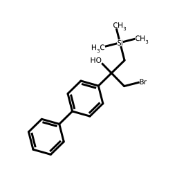 C[Si](C)(C)CC(O)(CBr)c1ccc(-c2ccccc2)cc1